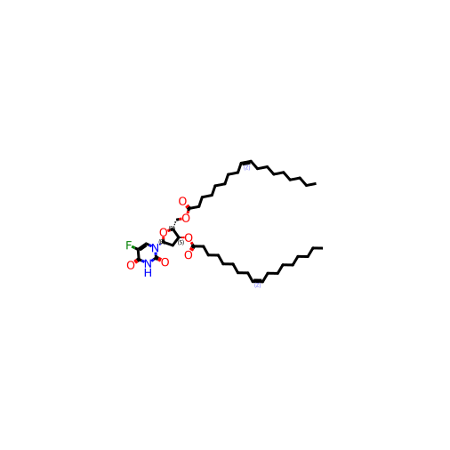 CCCCCCCC/C=C\CCCCCCCC(=O)OC[C@H]1O[C@@H](n2cc(F)c(=O)[nH]c2=O)C[C@@H]1OC(=O)CCCCCCC/C=C\CCCCCCCC